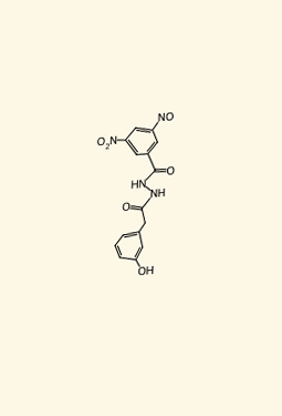 O=Nc1cc(C(=O)NNC(=O)Cc2cccc(O)c2)cc([N+](=O)[O-])c1